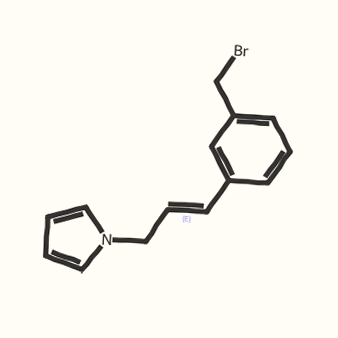 BrCc1cccc(/C=C/Cn2[c]ccc2)c1